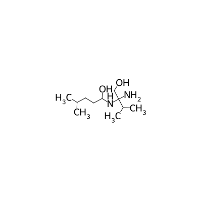 CC(C)CCC(O)NC(N)(CO)C(C)C